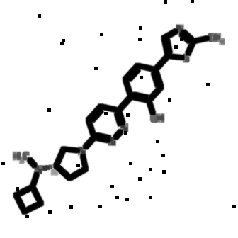 Cc1ncc(-c2ccc(-c3ccc(N4CC[C@H](N(C)C5CCC5)C4)nn3)c(O)c2)s1